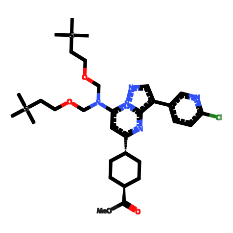 COC(=O)[C@H]1CC[C@H](c2cc(N(COCC[Si](C)(C)C)COCC[Si](C)(C)C)n3ncc(-c4ccc(Cl)nc4)c3n2)CC1